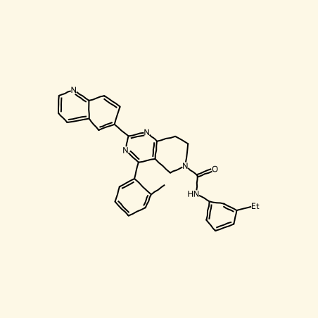 CCc1cccc(NC(=O)N2CCc3nc(-c4ccc5ncccc5c4)nc(-c4ccccc4C)c3C2)c1